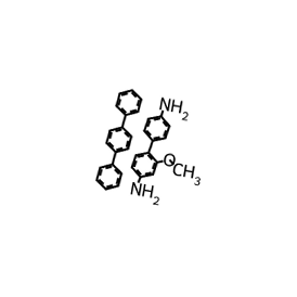 COc1cc(N)ccc1-c1ccc(N)cc1.c1ccc(-c2ccc(-c3ccccc3)cc2)cc1